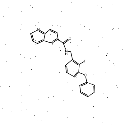 O=C(NCc1cccc(Oc2ccccc2)c1F)c1ccc2ncccc2n1